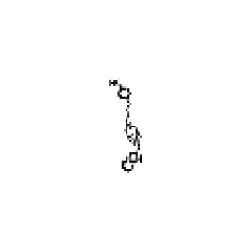 N#Cc1ccc(CCCCN2CC3CN(Cc4cn5ccccc5n4)CC(C2)O3)cc1